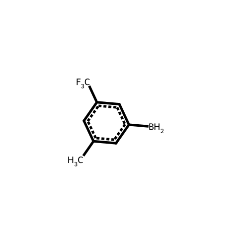 Bc1cc(C)cc(C(F)(F)F)c1